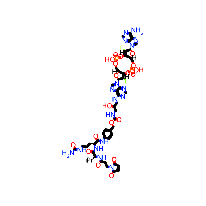 CC(C)[C@H](NC(=O)CCN1C(=O)C=CC1=O)C(=O)N[C@@H](CCCNC(N)=O)C(=O)Nc1ccc(COC(=O)NCC(O)CNc2ncnc3c2ncn3[C@@H]2O[C@@H]3COP(=O)(O)O[C@H]4[C@@H](F)[C@H](n5cnc6c(N)ncnc65)O[C@@H]4COP(=O)(O)O[C@H]3[C@H]2F)cc1